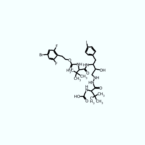 CC(C)(C)C(NC(=O)O)C(=O)NNCC(O)C(Cc1ccc(I)cc1)NC(=O)C(NC(=O)OCCc1c(F)cc(Br)cc1F)C(C)(C)C